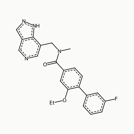 CCOc1cc(C(=O)N(C)Cc2cncc3cn[nH]c23)ccc1-c1cccc(F)c1